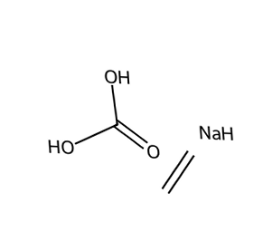 C=C.O=C(O)O.[NaH]